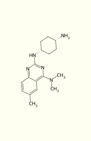 Cc1ccc2nc(N[C@H]3CC[C@@H](N)CC3)nc(N(C)C)c2c1